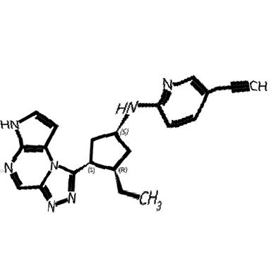 C#Cc1ccc(N[C@H]2C[C@@H](CC)[C@@H](c3nnc4cnc5[nH]ccc5n34)C2)nc1